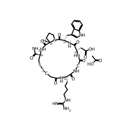 CC(=O)O.N=C(N)NCCCC[C@@H]1NC(=O)CCSSC[C@@H](C(N)=O)NC(=O)[C@@H]2CCCN2C(=O)[C@H](Cc2c[nH]c3ccccc23)NC(=O)[C@H](CC(=O)O)NC(=O)CNC1=O